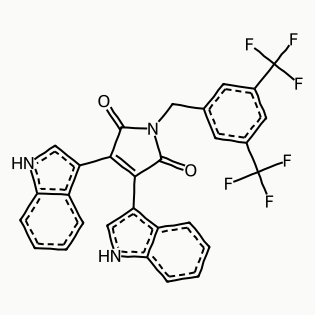 O=C1C(c2c[nH]c3ccccc23)=C(c2c[nH]c3ccccc23)C(=O)N1Cc1cc(C(F)(F)F)cc(C(F)(F)F)c1